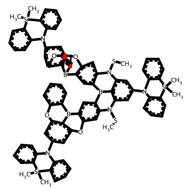 CSN1c2cc3c(cc2B2c4cc5c(cc4N(SC)c4cc(N6c7ccccc7[Si](C)(C)c7ccccc76)cc1c42)Oc1cc(N2c4ccccc4[Si](C)(C)c4ccccc42)cc2c1B5c1ccccc1O2)B1c2ccccc2Oc2cc(N4c5ccccc5[Si](C)(C)c5ccccc54)cc(c21)O3